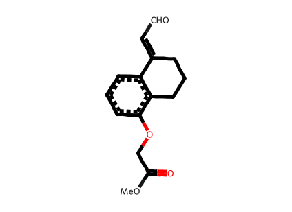 COC(=O)COc1cccc2c1CCCC2=CC=O